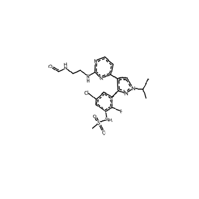 CC(C)n1cc(-c2ccnc(NCCNC=O)n2)c(-c2cc(Cl)cc(NS(C)(=O)=O)c2F)n1